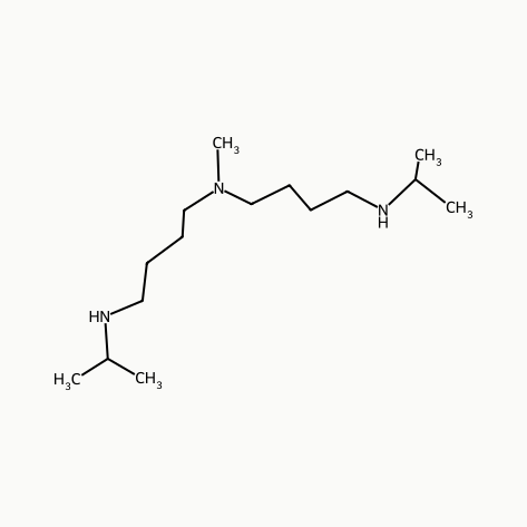 CC(C)NCCCCN(C)CCCCNC(C)C